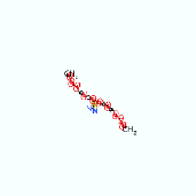 C=CC(=O)OCCOC(=O)CCC(=O)OCCc1ccc(OC(=O)C2CCC(C(=O)Oc3ccc(OC(=O)C4CCC(C(=O)Oc5ccc(CCOC(=O)CCC(=O)OCCOC(=O)C=C)cc5)CC4)c4c3SC(C(C#N)C#N)S4)CC2)cc1